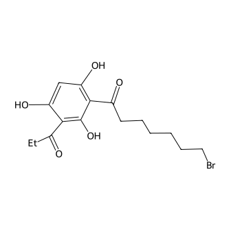 CCC(=O)c1c(O)cc(O)c(C(=O)CCCCCCBr)c1O